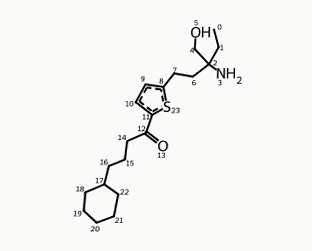 CCC(N)(CO)CCc1ccc(C(=O)CCCC2CCCCC2)s1